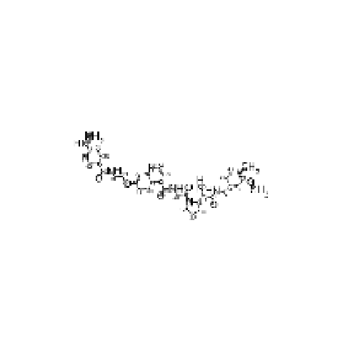 COc1cc(CNC(=O)C(=N)[C@@H]2CCCN2C(=O)CNC(=O)c2ccnc3cc(OCCNC(=O)c4ccc(NN)nc4)ccc23)ccc1C